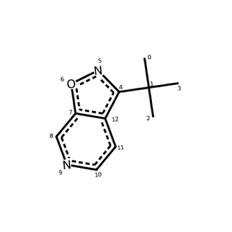 CC(C)(C)c1noc2cnccc12